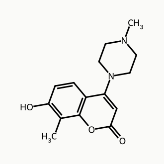 Cc1c(O)ccc2c(N3CCN(C)CC3)cc(=O)oc12